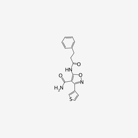 NC(=O)c1c(-c2ccsc2)noc1NC(=O)CCc1ccccc1